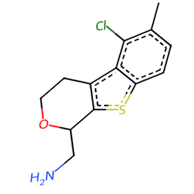 Cc1ccc2sc3c(c2c1Cl)CCOC3CN